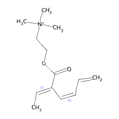 C=C/C=C\C(=C/C)C(=O)OCC[N+](C)(C)C